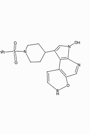 CCCS(=O)(=O)N1CCC(c2cn(O)c3ncc4c(c23)C=CBO4)CC1